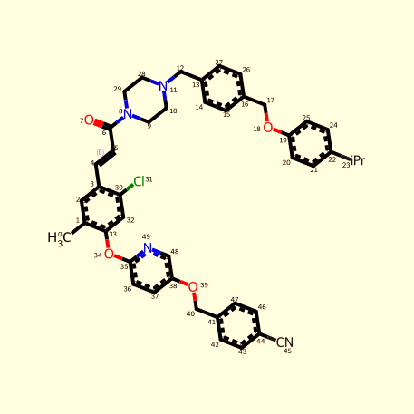 Cc1cc(/C=C/C(=O)N2CCN(Cc3ccc(COc4ccc(C(C)C)cc4)cc3)CC2)c(Cl)cc1Oc1ccc(OCc2ccc(C#N)cc2)cn1